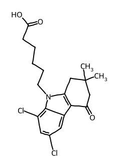 CC1(C)CC(=O)c2c(n(CCCCCC(=O)O)c3c(Cl)cc(Cl)cc23)C1